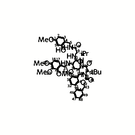 COc1ccc(CNC(=O)[C@@H](NC(=O)[C@H](NCc2ccc(OC)c(OC)c2OC)[C@H](O)[C@H](Cc2ccccc2)NC(=O)[C@@H](NC(=O)OCc2ccccc2)C(C)(C)C)C(C)C)c(O)c1